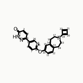 O=c1ccc(-c2ccc(Oc3ccc4c(c3)CCN(C3=CC=C3)CC4)nc2)n[nH]1